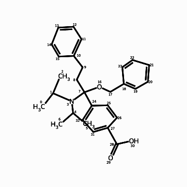 CC(C)N(C(C)C)C(CCc1ccccc1)(OCc1ccccc1)c1ccc(C(=O)O)cc1